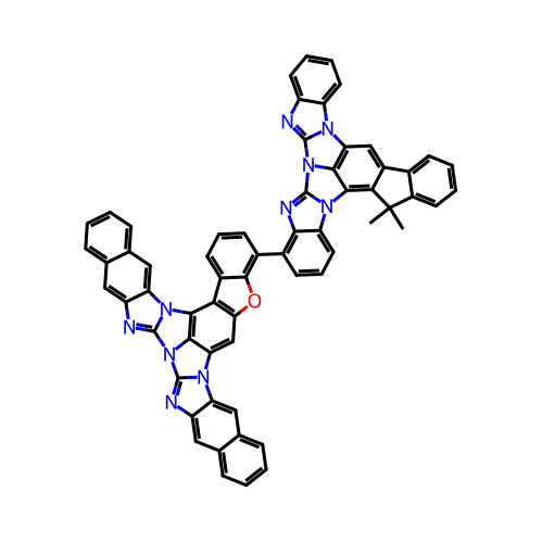 CC1(C)c2ccccc2-c2cc3c4c(c21)n1c2cccc(-c5cccc6c5oc5cc7c8c(c56)n5c6cc9ccccc9cc6nc5n8c5nc6cc8ccccc8cc6n75)c2nc1n4c1nc2ccccc2n31